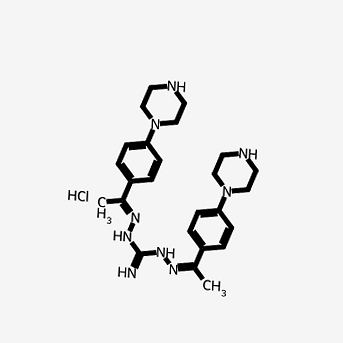 CC(=NNC(=N)NN=C(C)c1ccc(N2CCNCC2)cc1)c1ccc(N2CCNCC2)cc1.Cl